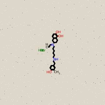 Br.Br.CCCN(CCCCCCNCCc1ccc(O)c(C)c1)[C@H]1CCc2c(ccc(O)c2O)C1